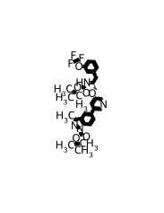 Cc1nn(C(=O)OC(C)(C)C)c2ccc(-c3cncc(OC[C@@H](Cc4cccc(OC(F)(F)F)c4)NC(=O)OC(C)(C)C)c3)cc12